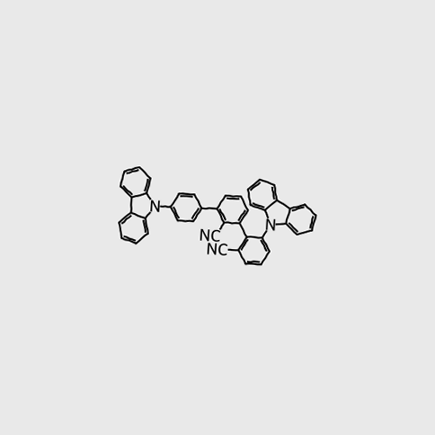 N#Cc1cccc(-n2c3ccccc3c3ccccc32)c1-c1cccc(-c2ccc(-n3c4ccccc4c4ccccc43)cc2)c1C#N